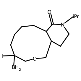 BC1(I)CCCCC2C(=O)N(C(C)C)CCC2CCC1